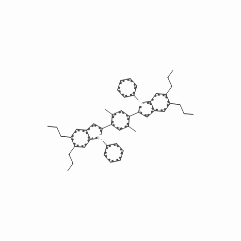 CCCc1cc2cc(-c3cc(C)c(-c4cc5cc(CCC)c(CCC)cc5n4-c4ccccc4)cc3C)n(-c3ccccc3)c2cc1CCC